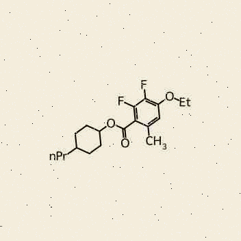 CCCC1CCC(OC(=O)c2c(C)cc(OCC)c(F)c2F)CC1